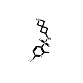 Cc1nc(C(F)(F)F)ccc1S(=O)(=O)NC1CC2(CNC2)C1